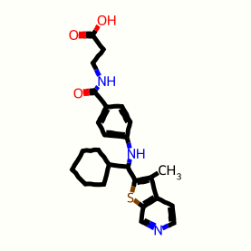 Cc1c(C(Nc2ccc(C(=O)NCCC(=O)O)cc2)C2CCCCC2)sc2cnccc12